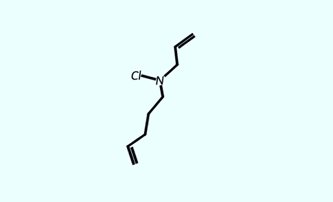 C=CCCCN(Cl)CC=C